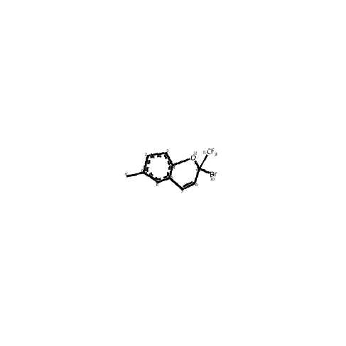 Cc1ccc2c(c1)C=CC(Br)(C(F)(F)F)O2